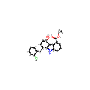 COC(=O)c1cccc2[nH]c3c(Cc4ccccc4Cl)ccc(O)c3c12